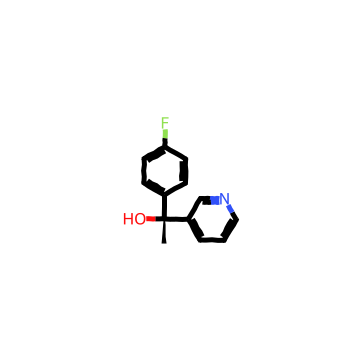 C[C@@](O)(c1ccc(F)cc1)c1cccnc1